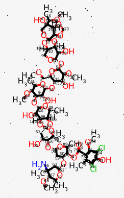 COC[C@H]1O[C@@H](O[C@@H]2OC[C@@H]3O[C@@]4(OC[C@@](O)(C(C)OC)[C@@H]5OCO[C@H]54)O[C@H]3[C@H]2O)[C@@H](OC)[C@@H](O)[C@@H]1O[C@@H]1O[C@H](C)[C@H](OC)[C@H](O[C@@H]2O[C@H](C)[C@H]3O[C@]4(C[C@@H](O)[C@H](O[C@H]5C[C@@H](O[C@H]6C[C@](C)(N)[C@@H](OC)[C@H](C)O6)[C@H](OC(=O)c6c(C)c(Cl)c(O)c(Cl)c6OC)[C@@H](C)O5)[C@@H](C)O4)O[C@@H]3[C@@H]2O)[C@H]1O